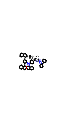 C=C/C(=C\C(=C/C)n1c2ccccc2c2ccccc21)c1ccc(N(c2cc(-c3cccc4ccccc34)ccc2-c2cccc3ccccc23)c2cccc3ccccc23)cc1